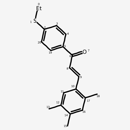 CCSc1ccc(C(=O)C=Cc2cc(C)c(C)cc2C)cc1